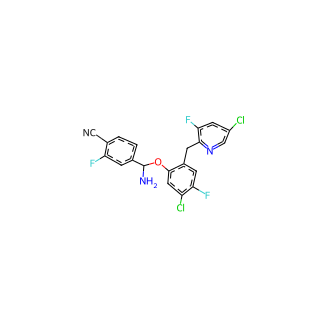 N#Cc1ccc(C(N)Oc2cc(Cl)c(F)cc2Cc2ncc(Cl)cc2F)cc1F